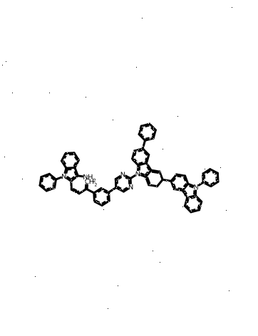 C=C(/C=C\c1c(N)c2ccccc2n1-c1ccccc1)c1cccc(-c2cnc(-n3c4c(c5cc(-c6ccccc6)ccc53)=CC(c3ccc5c(c3)c3ccccc3n5-c3ccccc3)CC=4)nc2)c1